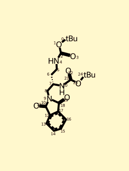 CC(C)(C)OC(=O)NCC[C@@H](CN1C(=O)c2ccccc2C1=O)NC(=O)OC(C)(C)C